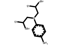 CCCCC(CC)CN(CC(CC)CCCC)c1ccc(N)cc1